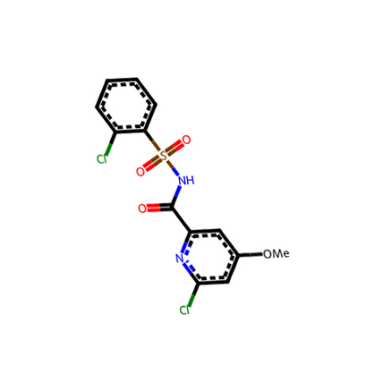 COc1cc(Cl)nc(C(=O)NS(=O)(=O)c2ccccc2Cl)c1